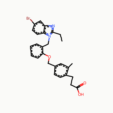 CCc1nc2cc(Br)ccc2n1Cc1ccccc1OCc1ccc(CCC(=O)O)c(C)c1